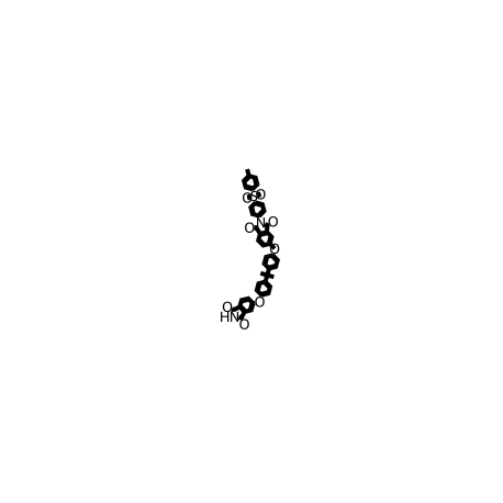 Cc1ccc(S(=O)(=O)c2ccc(N3C(=O)c4ccc(Oc5ccc(C(C)(C)c6ccc(Oc7ccc8c(c7)C(=O)NC8=O)cc6)cc5)cc4C3=O)cc2)cc1